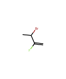 C=C(F)C(C)Br